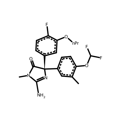 CCCOc1cc([C@@]2(c3ccc(OC(F)F)c(C)c3)N=C(N)N(C)C2=O)ccc1F